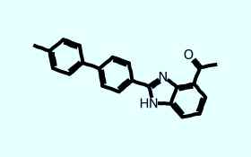 CC(=O)c1cccc2[nH]c(-c3ccc(-c4ccc(C)cc4)cc3)nc12